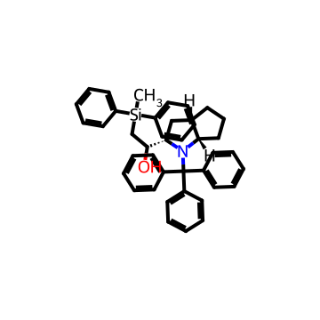 C[Si](CC(O)[C@@H]1C[C@@H]2CCC[C@@H]2N1C(c1ccccc1)(c1ccccc1)c1ccccc1)(c1ccccc1)c1ccccc1